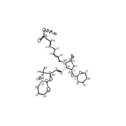 CCCCC(C)(C)[C@@H](C=C[C@@H]1[C@@H](CC=CCCCC(=O)OC)[C@@H](Br)C[C@H]1OC1CCCCO1)OC1CCCCO1